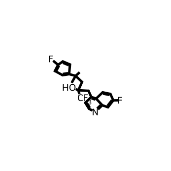 CC(C)(CC(O)(Cc1ccnc2cc(F)ccc12)C(F)(F)F)c1ccc(F)cc1